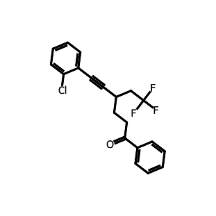 O=C(CCC(C#Cc1ccccc1Cl)CC(F)(F)F)c1ccccc1